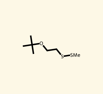 CSSCCOC(C)(C)C